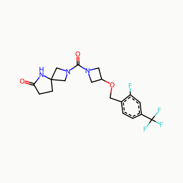 O=C1CCC2(CN(C(=O)N3CC(OCc4ccc(C(F)(F)F)cc4F)C3)C2)N1